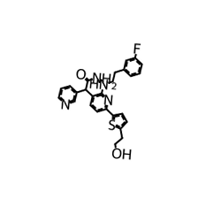 NC(=O)C(c1cccnc1)c1ccc(-c2ccc(CCO)s2)nc1NCCc1cccc(F)c1